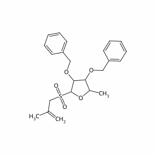 C=C(C)CS(=O)(=O)C1OC(C)C(OCc2ccccc2)C1OCc1ccccc1